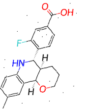 Cc1ccc2c(c1)[C@@H]1OCCC[C@@H]1[C@@H](c1ccc(C(=O)O)cc1F)N2